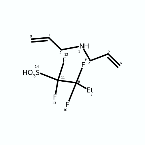 C=CCNCC=C.CCC(F)(F)C(F)(F)S(=O)(=O)O